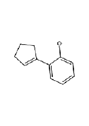 [O]c1ccccc1C1=CCCC1